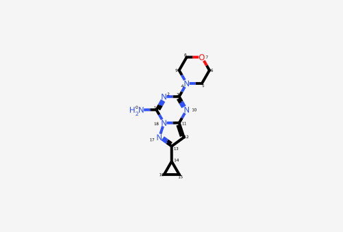 Nc1nc(N2CCOCC2)nc2cc(C3CC3)nn12